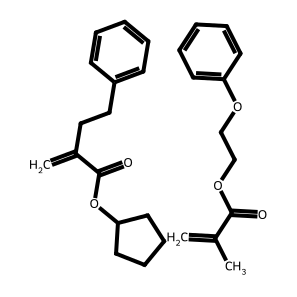 C=C(C)C(=O)OCCOc1ccccc1.C=C(CCc1ccccc1)C(=O)OC1CCCC1